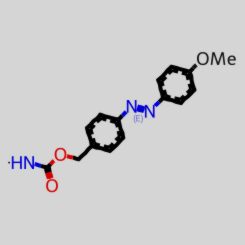 COc1ccc(/N=N/c2ccc(COC([NH])=O)cc2)cc1